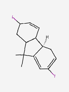 CC1(C)C2=CC(I)=CC[C@@H]2C2C=CC(I)CC21